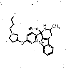 CCCCCC1(c2ccc(O[C@H]3CCN(CCCF)C3)cn2)NC(C)Cc2c1[nH]c1ccccc21